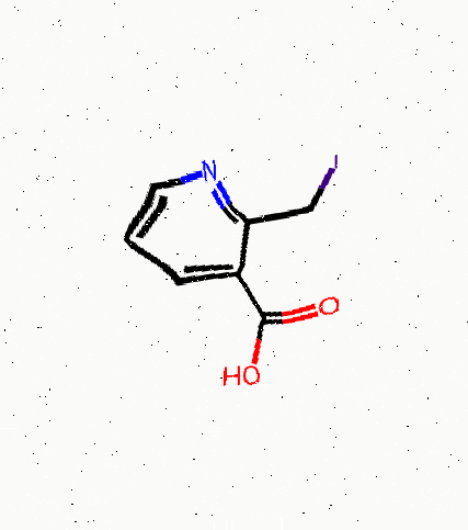 O=C(O)c1cccnc1CI